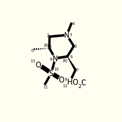 C[C@@H]1CN(C)C[C@@H](CC(=O)O)N1S(C)(=O)=O